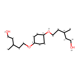 CC(CCO)CCOC1CCC(OCCC(C)CCO)CC1